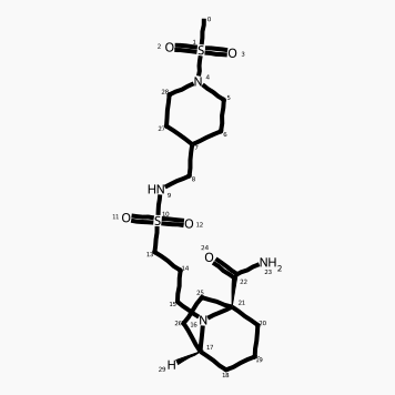 CS(=O)(=O)N1CCC(CNS(=O)(=O)CCCN2[C@@H]3C[CH]C[C@@]2(C(N)=O)CC3)CC1